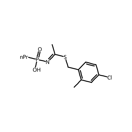 CCCP(=O)(O)N=C(C)SCc1ccc(Cl)cc1C